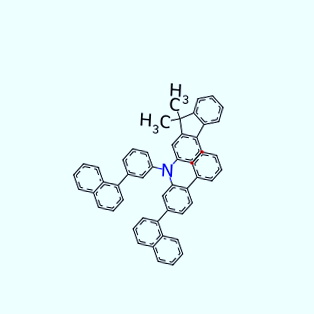 CC1(C)c2ccccc2-c2ccc(N(c3cccc(-c4cccc5ccccc45)c3)c3cc(-c4cccc5ccccc45)ccc3-c3ccccc3)cc21